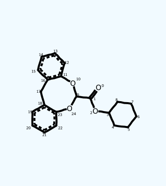 O=C(OC1CCCCC1)C1Oc2ccccc2Cc2ccccc2O1